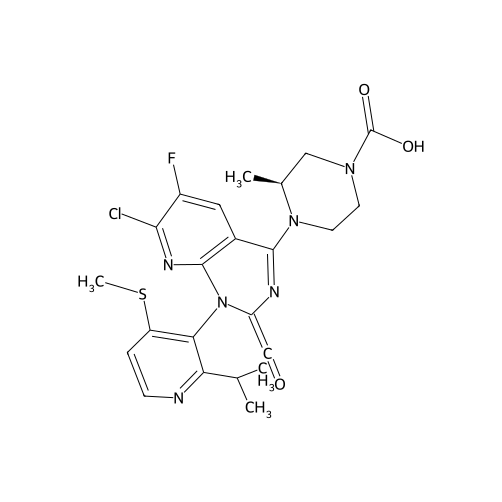 CSc1ccnc(C(C)C)c1N1C(=C=O)N=C(N2CCN(C(=O)O)C[C@@H]2C)c2cc(F)c(Cl)nc21